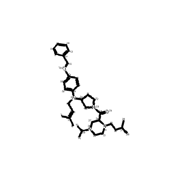 CC(C)=CCN(c1ccc(OCc2ccccc2)cc1)C1CCN(C(=O)C2CN(C(C)C)CCN2CCC(C)C)C1